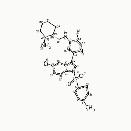 Cc1ccc(S(=O)(=O)n2cc(-c3ncc(F)c(NC[C@H]4CCCC[C@@H]4N)n3)c3cc(Cl)cnc32)cc1